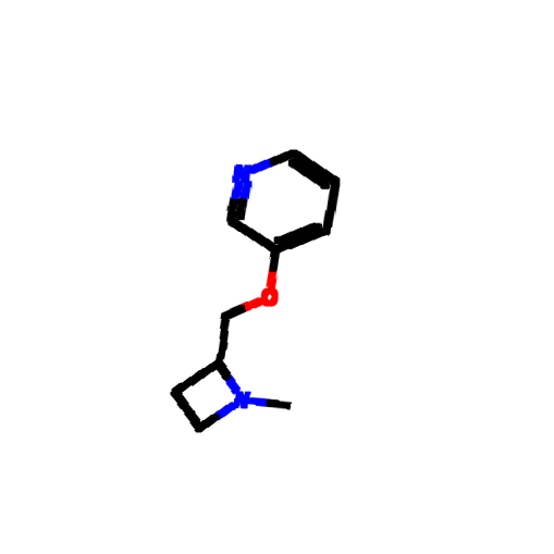 CN1CCC1COc1cccnc1